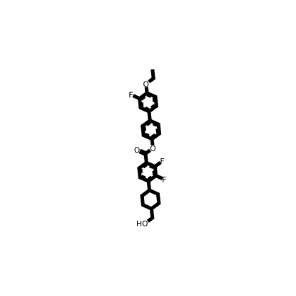 CCOc1ccc(-c2ccc(OC(=O)c3ccc(C4CCC(CO)CC4)c(F)c3F)cc2)cc1F